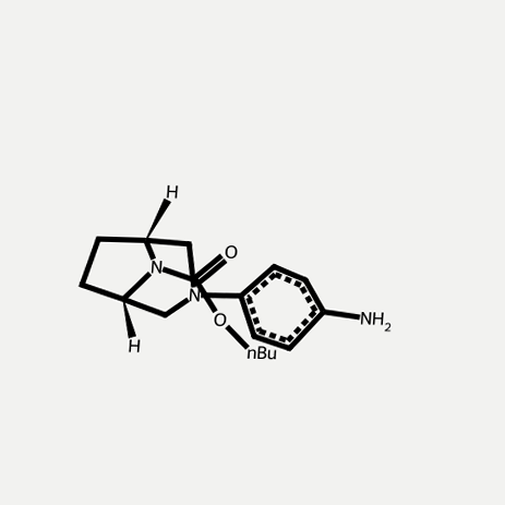 CCCCOC(=O)N1[C@@H]2CC[C@H]1CN(c1ccc(N)cc1)C2